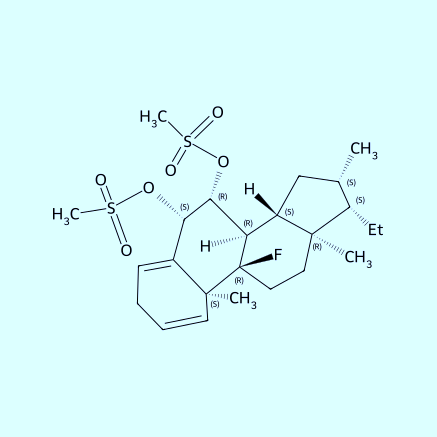 CC[C@H]1[C@@H](C)C[C@H]2[C@@H]3[C@@H](OS(C)(=O)=O)[C@@H](OS(C)(=O)=O)C4=CCC=C[C@]4(C)[C@@]3(F)CC[C@@]21C